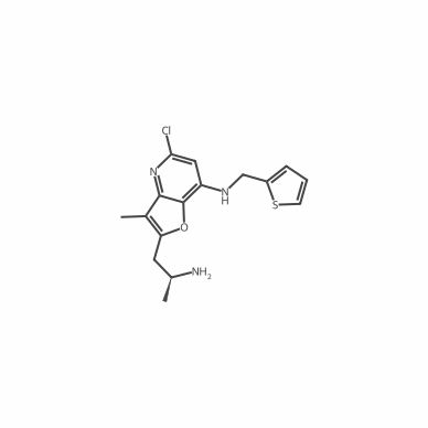 Cc1c(C[C@H](C)N)oc2c(NCc3cccs3)cc(Cl)nc12